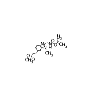 C=C(C)OC(=O)NCc1nc2ccc(CCC(=O)OC)cc2n1CC